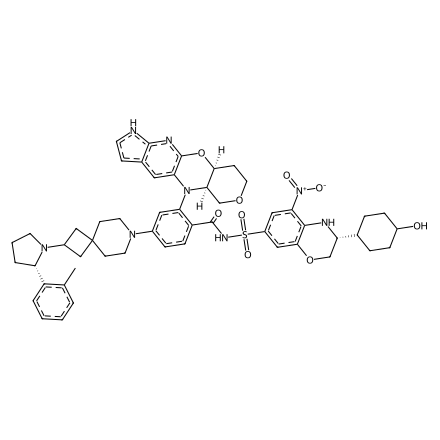 Cc1ccccc1[C@@H]1CCCN1C1CC2(CCN(c3ccc(C(=O)NS(=O)(=O)c4cc5c(c([N+](=O)[O-])c4)N[C@H](C4CCC(O)CC4)CO5)c(N4c5cc6cc[nH]c6nc5O[C@H]5CCOC[C@H]54)c3)CC2)C1